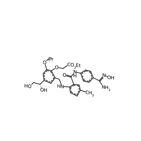 CCOC(=O)COc1c(CNc2ccc(C)cc2C(=O)Nc2ccc(/C(N)=N/O)cc2)cc([C@H](O)CO)cc1OC(C)C